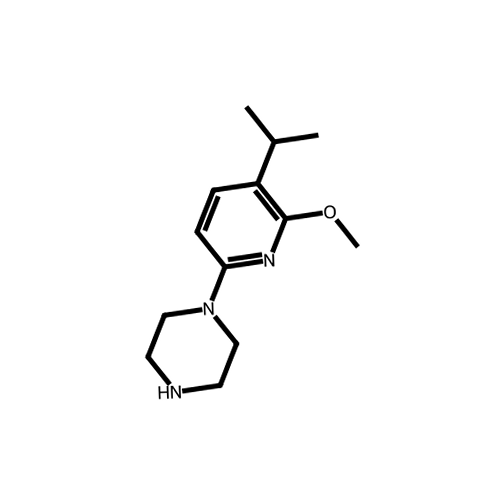 COc1nc(N2CCNCC2)ccc1C(C)C